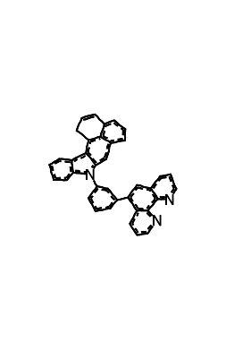 C1=Cc2cccc3cc4c(c(c23)C1)c1ccccc1n4-c1cccc(-c2cc3cccnc3c3ncccc23)c1